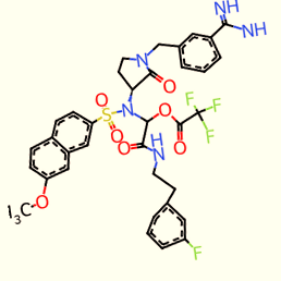 COc1ccc2ccc(S(=O)(=O)N(C(OC(=O)C(F)(F)F)C(=O)NCCc3cccc(F)c3)[C@H]3CCN(Cc4cccc(C(=N)N)c4)C3=O)cc2c1